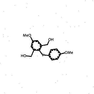 COc1ccc([I+]c2c(CO)cc(OC)cc2CO)cc1